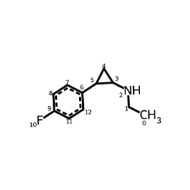 CCNC1CC1c1ccc(F)cc1